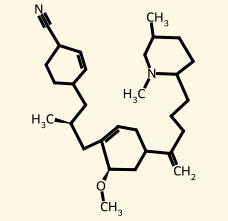 C=C(CCCC1CCC(C)CN1C)C1CC=C(C[C@@H](C)CC2C=CC(C#N)CC2)[C@H](OC)C1